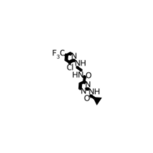 O=C(NCCNc1ncc(C(F)(F)F)cc1Cl)c1ccnc(NC(=O)C2CC2)n1